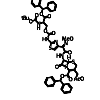 CO/N=C(/C(=O)N[C@@H]1C(=O)N2C(C(=O)OC(c3ccccc3)c3ccccc3)=C(COC(C)=O)CS[C@H]12)c1csc(NC(=O)OCC(NC(=O)OC(C)(C)C)C(=O)OC(c2ccccc2)c2ccccc2)n1